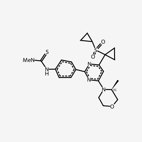 CNC(=S)Nc1ccc(-c2nc(N3CCOC[C@@H]3C)cc(C3(S(=O)(=O)C4CC4)CC3)n2)cc1